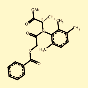 COC(=O)[C@H](C)N(C(=O)CSC(=O)c1ccccc1)c1c(C)ccc(C)c1C